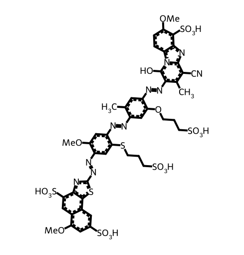 COc1cc(N=Nc2cc(OCCCS(=O)(=O)O)c(N=Nc3c(C)c(C#N)c4nc5c(S(=O)(=O)O)c(OC)ccc5n4c3O)cc2C)c(SCCCS(=O)(=O)O)cc1N=Nc1nc2c(S(=O)(=O)O)cc3c(OC)cc(S(=O)(=O)O)cc3c2s1